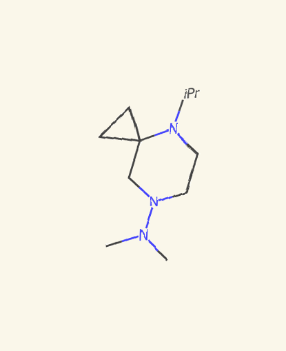 CC(C)N1CCN(N(C)C)CC12CC2